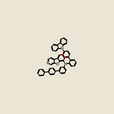 c1ccc(-c2ccc(-c3cccc(N(c4ccccc4-c4ccc(-n5c6ccccc6c6ccccc65)cc4)c4cccc5c4oc4cnccc45)c3)cc2)cc1